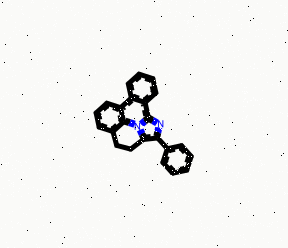 c1ccc(-c2nc3c4ccccc4c4cccc5c4n3c2CC5)cc1